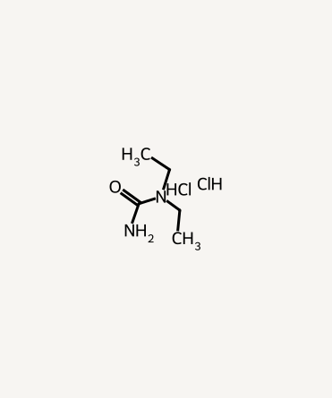 CCN(CC)C(N)=O.Cl.Cl